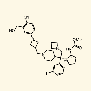 COC(=O)N[C@H]1CCC[C@@H]1C(CN1CCC1)(c1cccc(F)c1)C1CCN(CC2CN(c3ccc(C#N)c(CO)c3)C2)CC1